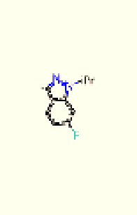 CC(C)n1n[c]c2ccc(F)cc21